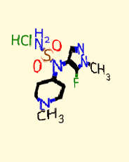 CN1CCC(N(c2cnn(C)c2F)S(N)(=O)=O)CC1.Cl